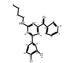 CCCCNc1nc(C(=O)c2cccnc2)nc(-c2ccc(Cl)c(Cl)c2)n1